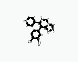 Clc1ccc(-c2c(-c3ccncc3)n[c]n3cnnc23)cc1Cl